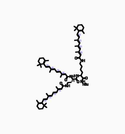 CCCCNC(=O)C(CCCCNC(=O)/C=C(C)/C=C(C)/C=C(C)/C=C/C1=C(C)CCCC1(C)C)NC(=O)[C@H](CCNC(=O)/C=C(C)/C=C/C=C(C)/C=C/C1=C(C)CCCC1(C)C)NC(=O)/C=C(C)/C=C/C=C(C)/C=C/C1=C(C)CCCC1(C)C